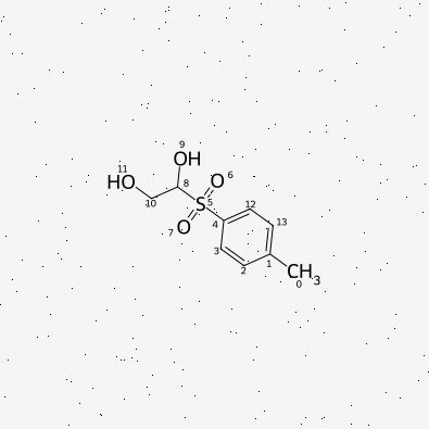 Cc1ccc(S(=O)(=O)C(O)CO)cc1